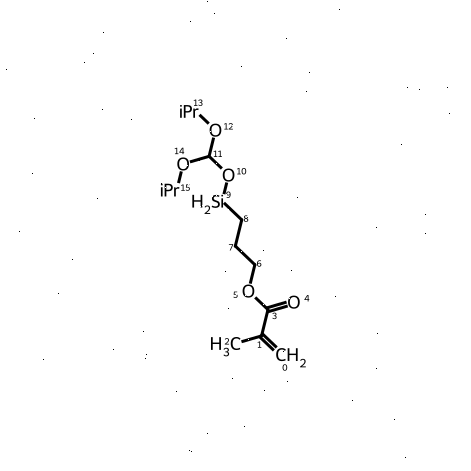 C=C(C)C(=O)OCCC[SiH2]OC(OC(C)C)OC(C)C